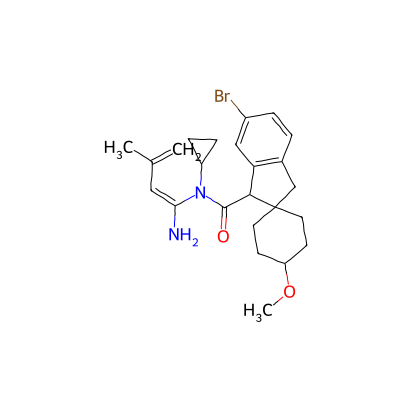 C=C(C)/C=C(/N)N(C(=O)C1c2cc(Br)ccc2CC12CCC(OC)CC2)C1CC1